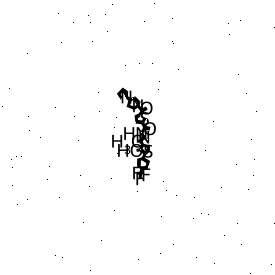 C/C(=N\NC(=O)c1ccc(C(=O)N2CCC(N3CCCC3)CC2)s1)C1CSC(c2ccc(C(F)(F)F)cc2)=C1O